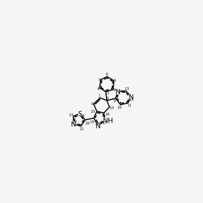 C1=CC(c2ccccc2)(c2ccncn2)Cc2[nH]nc(-c3cncs3)c21